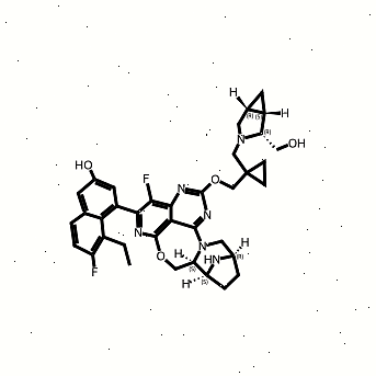 CCc1c(F)ccc2cc(O)cc(-c3nc4c5c(nc(OCC6(CN7C[C@@H]8C[C@@H]8[C@@H]7CO)CC6)nc5c3F)N3C[C@H]5CC[C@H](N5)[C@H]3CO4)c12